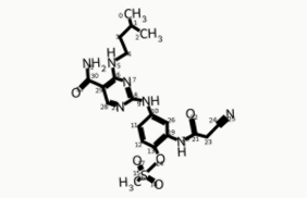 CC(C)CCNc1nc(Nc2ccc(OS(C)(=O)=O)c(NC(=O)CC#N)c2)ncc1C(N)=O